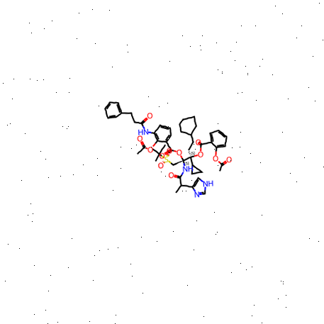 CC(=O)Oc1ccccc1C(=O)O[C@@](CCC1CCCCC1)(C1CC1)[C@](CS(=O)(=O)C(C)(C)C)(NC(=O)C(C)c1c[nH]cn1)OC(=O)c1cccc(NC(=O)CCc2ccccc2)c1OC(C)=O